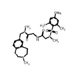 COc1cc(C)c(S(=O)(=O)N(C)CC(=O)NCC(=O)N(C)Cc2ccc3c(c2)CCN(C)CC3)c(C)c1